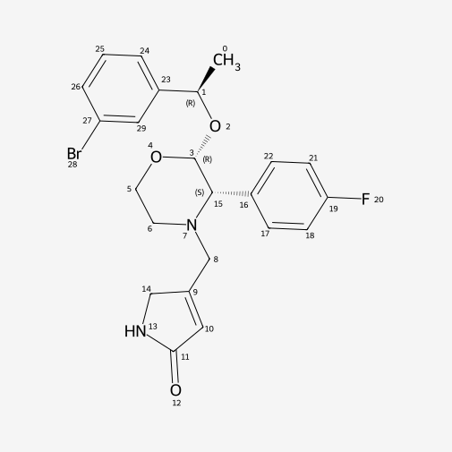 C[C@@H](O[C@H]1OCCN(CC2=CC(=O)NC2)[C@H]1c1ccc(F)cc1)c1cccc(Br)c1